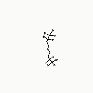 BrC(Br)(Br)C(Br)(Br)CCOCCC(Br)(Br)C(Br)(Br)Br